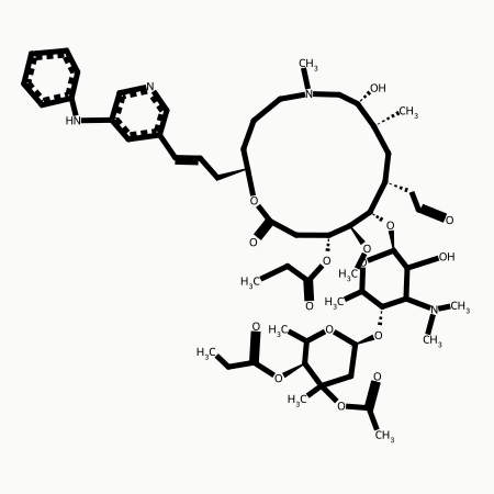 CCC(=O)O[C@@H]1CC(=O)O[C@@H](C/C=C/c2cncc(Nc3ccccc3)c2)CCCN(C)C[C@H](O)[C@H](C)C[C@H](CC=O)[C@H](O[C@@H]2OC(C)[C@@H](O[C@H]3CC(C)(OC(C)=O)[C@@H](OC(=O)CC)C(C)O3)C(N(C)C)C2O)[C@H]1OC